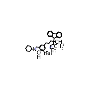 C=C(/C=C\CC)C(C)(CCCc1cc(/C=N/C2CCCCC2)c(O)c(C(C)(C)C)c1)C1c2ccccc2-c2ccccc21